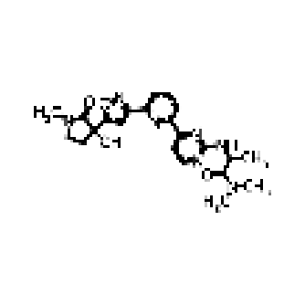 C[C@H](Nc1nccc(-c2cccc(-c3cc([C@]4(O)CCN(C)C4=O)on3)n2)n1)C(=O)N(C)C